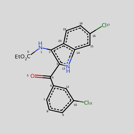 CCOC(=O)Nc1c(C(=O)c2cccc(Cl)c2)[nH]c2cc(Cl)ccc12